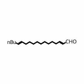 CCCCC=CCCCCCCCCC/C=C/C=O